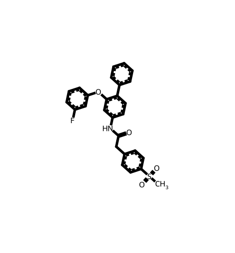 CS(=O)(=O)c1ccc(CC(=O)Nc2ccc(-c3ccccc3)c(Oc3cccc(F)c3)c2)cc1